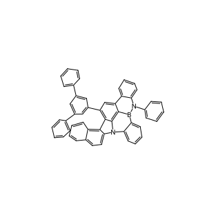 c1ccc(-c2cc(-c3ccccc3)cc(-c3cc4c5c6c3c3c7ccccc7ccc3n6-c3ccccc3B5N(c3ccccc3)c3ccccc3-4)c2)cc1